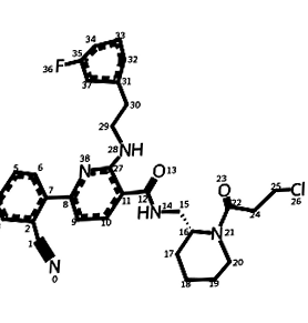 N#Cc1ccccc1-c1ccc(C(=O)NC[C@H]2CCCCN2C(=O)CCCl)c(NCCc2cccc(F)c2)n1